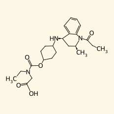 CCC(=O)N1c2ccccc2[C@H](NC2CCC(OC(=O)N(CC)CC(=O)O)CC2)C[C@@H]1C